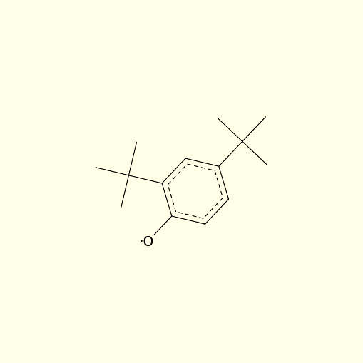 CC(C)(C)c1ccc([O])c(C(C)(C)C)c1